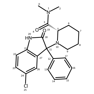 CN(C)C(=O)[C@@H]1CCCCN1C1(c2ccccc2)C(=O)Nc2ccc(Cl)cc21